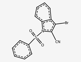 N#Cc1c(Br)c2ccccc2n1S(=O)(=O)c1ccccc1